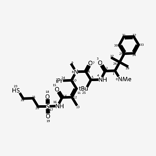 CNC(C(=O)NC(C(=O)N(C)C(C=C(C)C(=O)NS(=O)(=O)CCCS)C(C)C)C(C)(C)C)C(C)(C)c1ccccc1